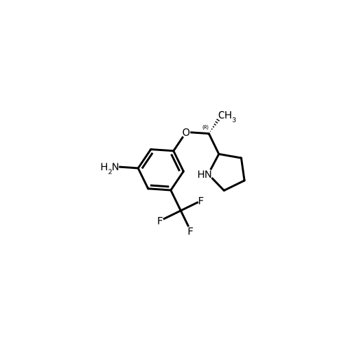 C[C@@H](Oc1cc(N)cc(C(F)(F)F)c1)C1CCCN1